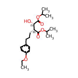 CCOc1ccc(CCC[C@@H](C(=O)OC(C)C)[C@H](O)C(=O)OC(C)C)cc1